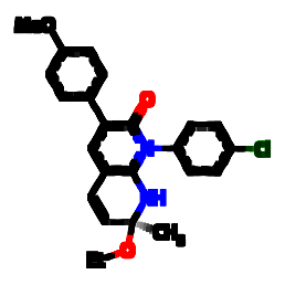 CCO[C@@]1(C)C=Cc2cc(-c3ccc(OC)cc3)c(=O)n(-c3ccc(Cl)cc3)c2N1